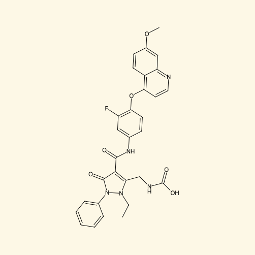 CCn1c(CNC(=O)O)c(C(=O)Nc2ccc(Oc3ccnc4cc(OC)ccc34)c(F)c2)c(=O)n1-c1ccccc1